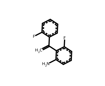 C=C(c1ccccc1F)c1c(N)cccc1F